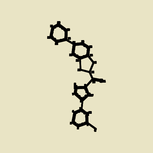 Cc1cccc(-c2cnc(C(=O)C3Cc4ccc(-c5ccccc5)cc4C3)o2)n1